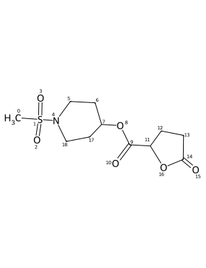 CS(=O)(=O)N1CCC(OC(=O)C2CCC(=O)O2)CC1